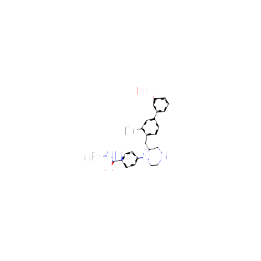 CCCNC(=O)c1ccc(N2CCNCC2Cc2ccc(-c3cccc(O)c3)cc2CC)cc1